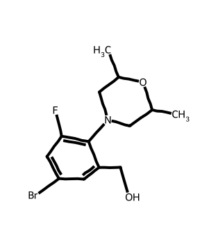 CC1CN(c2c(F)cc(Br)cc2CO)CC(C)O1